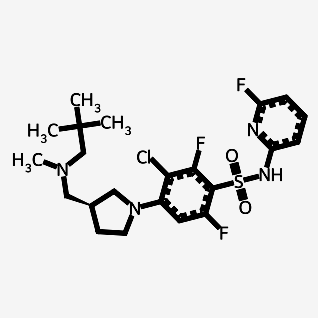 CN(C[C@@H]1CCN(c2cc(F)c(S(=O)(=O)Nc3cccc(F)n3)c(F)c2Cl)C1)CC(C)(C)C